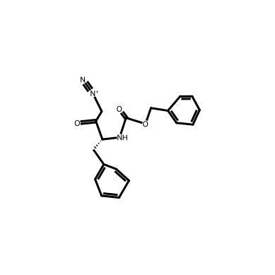 N#[N+]CC(=O)[C@@H](Cc1ccccc1)NC(=O)OCc1ccccc1